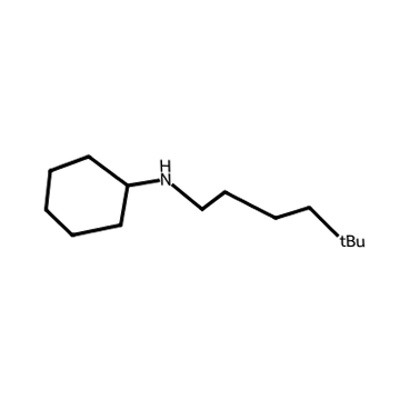 CC(C)(C)CCCCNC1CCCCC1